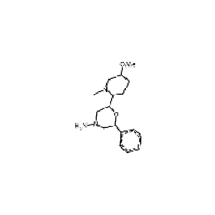 COC1CCC(C2CN(N)CC(c3ccccc3)O2)N(C)C1